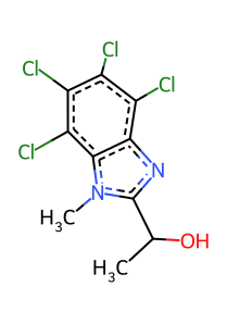 CC(O)c1nc2c(Cl)c(Cl)c(Cl)c(Cl)c2n1C